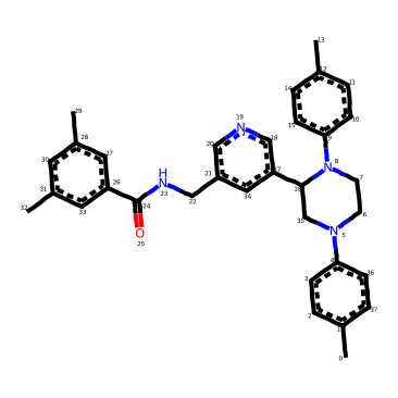 Cc1ccc(N2CCN(c3ccc(C)cc3)C(c3cncc(CNC(=O)c4cc(C)cc(C)c4)c3)C2)cc1